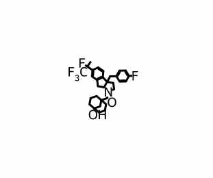 CC(F)(c1ccc2c(c1)CC1N(C(=O)C34CCCC(O)(CCC3)C4)CCC21Cc1ccc(F)cc1)C(F)(F)F